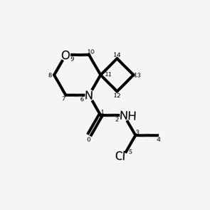 C=C(NC(C)Cl)N1CCOCC12CCC2